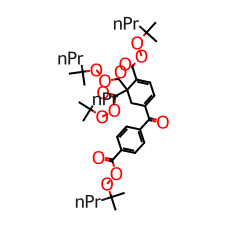 CCCC(C)(C)OOC(=O)C1=CC=C(C(=O)c2ccc(C(=O)OOC(C)(C)CCC)cc2)CC1(C(=O)OOC(C)(C)CCC)C(=O)OOC(C)(C)CCC